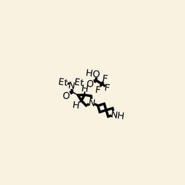 CCN(CC)C(=O)[C@H]1[C@@H]2CN(C3CC4(CNC4)C3)C[C@@H]21.O=C(O)C(F)(F)F